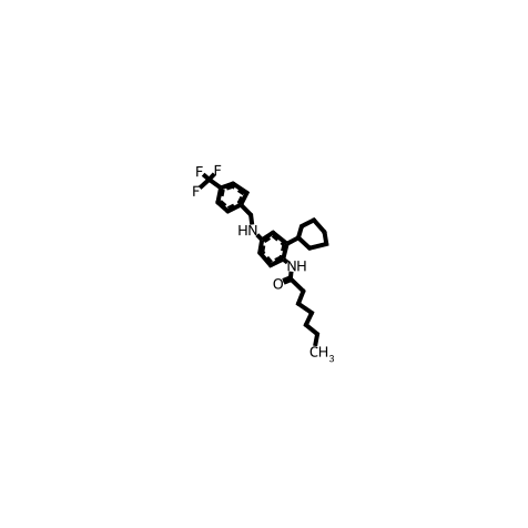 CCCCCCC(=O)Nc1ccc(NCc2ccc(C(F)(F)F)cc2)cc1C1CCCCC1